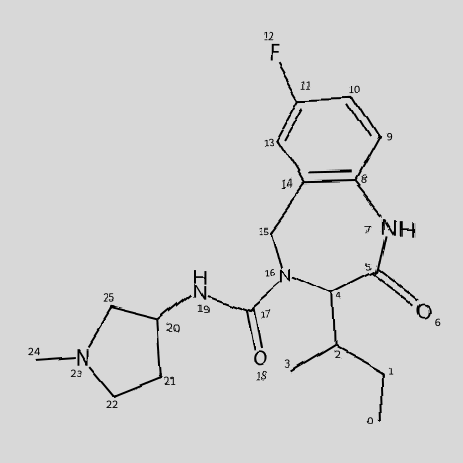 CCC(C)C1C(=O)Nc2ccc(F)cc2CN1C(=O)NC1CCN(C)C1